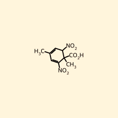 CC1=CC([N+](=O)[O-])C(C)(C(=O)O)C([N+](=O)[O-])=C1